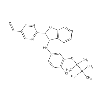 CC(C)(C)[Si](C)(C)Oc1cc(NC2c3ccncc3OC2c2ncc(C=O)cn2)ccc1Cl